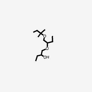 CCC(O)COC(CC)COC(C)(C)CC